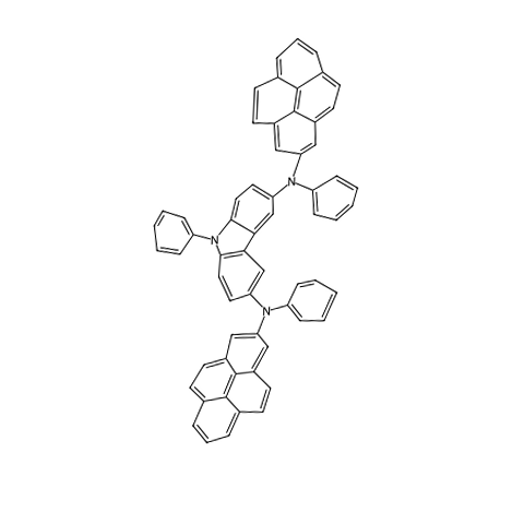 c1ccc(N(c2cc3ccc4cccc5ccc(c2)c3c45)c2ccc3c(c2)c2cc(N(c4ccccc4)c4cc5ccc6cccc7ccc(c4)c5c67)ccc2n3-c2ccccc2)cc1